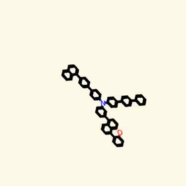 c1ccc(-c2ccc(-c3ccc(N(c4ccc(-c5ccc(-c6cccc7ccccc67)cc5)cc4)c4cccc(-c5ccc6c7c(cccc57)-c5ccccc5O6)c4)cc3)cc2)cc1